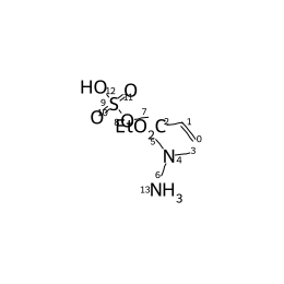 C=CC(=O)OCC.CN(C)C.COS(=O)(=O)O.N